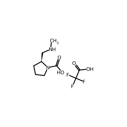 CNC[C@@H]1CCCN1C(=O)O.O=C(O)C(F)(F)F